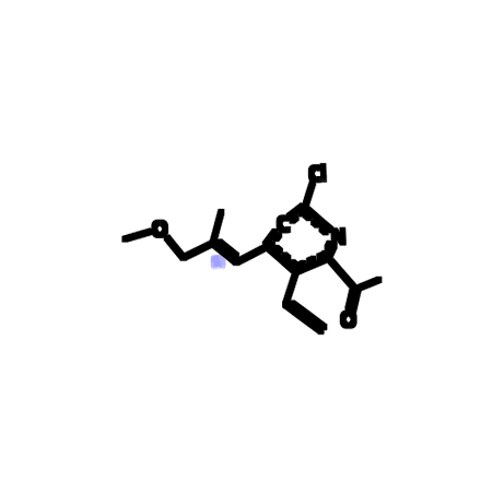 C=Cc1c(/C=C(\C)COC)cc(Cl)nc1C(C)=O